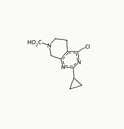 O=C(O)N1CCc2c(Cl)nc(C3CC3)nc2C1